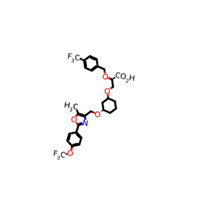 Cc1oc(-c2ccc(OC(F)(F)F)cc2)nc1CO[C@H]1CCCC(OC[C@@H](OCc2ccc(C(F)(F)F)cc2)C(=O)O)C1